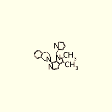 Cc1c(C)n(Cc2ccccn2)c2c(N3CCc4ccccc4C3)nccc12